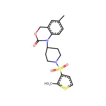 Cc1ccc2c(c1)COC(=O)N2C1CCN(S(=O)(=O)c2ccsc2C(=O)O)CC1